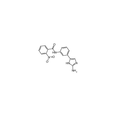 Nc1ncc(-c2cccc(NC(=O)c3ccccc3[N+](=O)[O-])c2)[nH]1